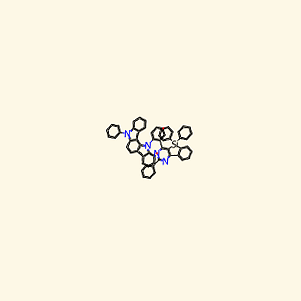 c1ccc(-c2nc(-c3ccccc3-n3c4ccccc4c4ccc5c(c6ccccc6n5-c5ccccc5)c43)c3c(n2)-c2ccccc2[Si]3(c2ccccc2)c2ccccc2)cc1